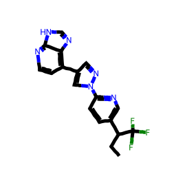 CCC(c1ccc(-n2cc(-c3ccnc4[nH]cnc34)cn2)nc1)C(F)(F)F